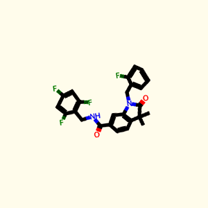 CC1(C)C(=O)N(Cc2ccccc2F)c2cc(C(=O)NCc3c(F)cc(F)cc3F)ccc21